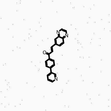 O=C(/C=C/c1ccc2nccnc2c1)c1ccc(-c2cccnc2)cc1